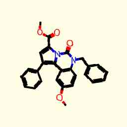 COC(=O)c1cc(-c2ccccc2)c2c3cc(OC)ccc3n(Cc3ccccc3)c(=O)n12